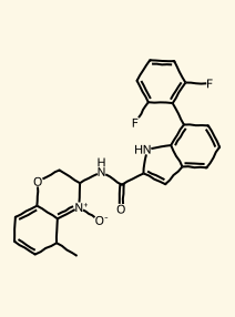 CC1C=CC=C2OCC(NC(=O)c3cc4cccc(-c5c(F)cccc5F)c4[nH]3)[N+]([O-])=C21